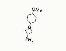 COC1CCC(N2CC(P)C2)CC1